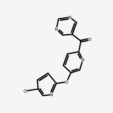 O=C(c1cncnc1)c1ccc(Oc2ccc(Cl)cn2)cn1